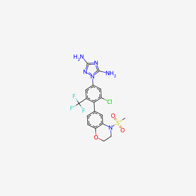 CS(=O)(=O)N1CCOc2ccc(-c3c(Cl)cc(-n4nc(N)nc4N)cc3C(F)(F)F)cc21